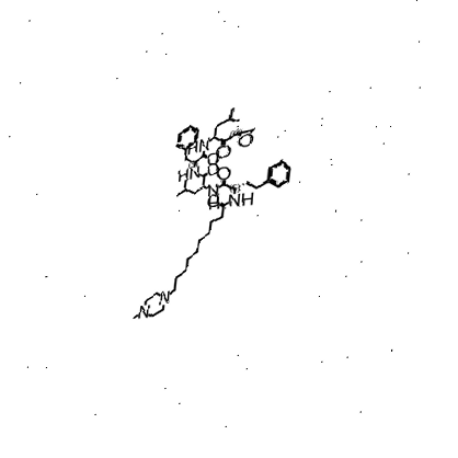 CC(C)CC(NC(=O)[C@H](CCc1ccccc1)NC(=O)CCCCCCCCCN1CCN(C)CC1)C(=O)N[C@@H](Cc1ccccc1)C(=O)NC(CC(C)C)C(=O)[C@@]1(C)CO1